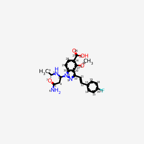 CCNC(CC(N)=O)n1nc(C=Cc2ccc(F)cc2)c2c(OC)c(C(=O)O)ccc21